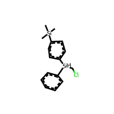 C[Si](C)(C)c1ccc([SiH](CCl)c2ccccc2)cc1